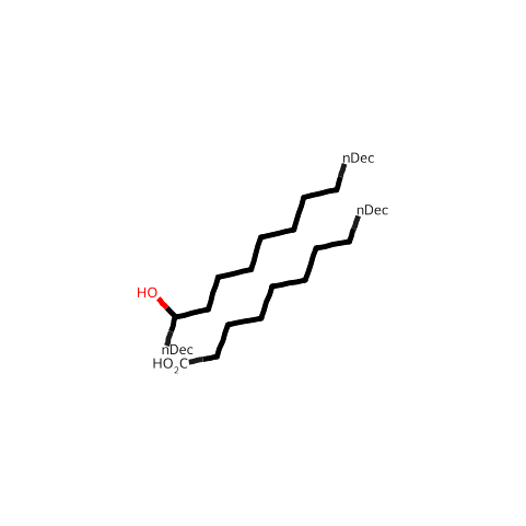 CCCCCCCCCCCCCCCCCC(=O)O.CCCCCCCCCCCCCCCCCC(O)CCCCCCCCCC